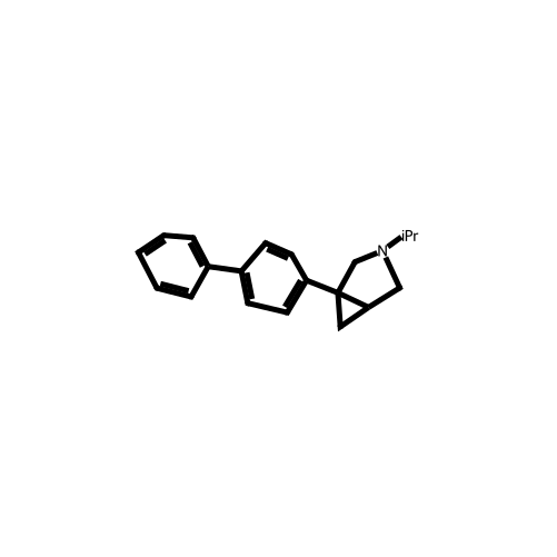 CC(C)N1CC2CC2(c2ccc(-c3ccccc3)cc2)C1